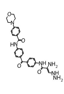 NN/C=C(\N)C(=O)Nc1ccc(C(=O)c2ccc(NC(=O)c3ccc(N4CCOCC4)cc3)cc2)cc1